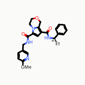 CC[C@@H](NC(=O)c1cc(C(=O)NCc2ccc(OC)nc2)n2c1COCC2)c1ccccc1